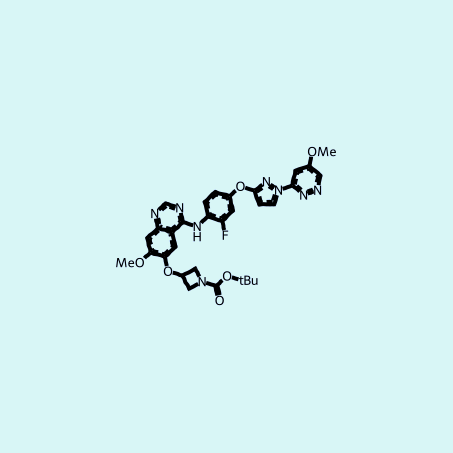 COc1cnnc(-n2ccc(Oc3ccc(Nc4ncnc5cc(OC)c(OC6CN(C(=O)OC(C)(C)C)C6)cc45)c(F)c3)n2)c1